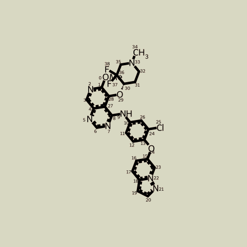 COc1ncc2ncnc(Nc3ccc(Oc4ccc5ccnn5c4)c(Cl)c3)c2c1O[C@H]1CCN(C)CC1(F)F